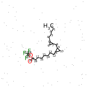 CCCCCC1CC1CC1CC1CCCCCCCC(=O)OC(F)(F)F